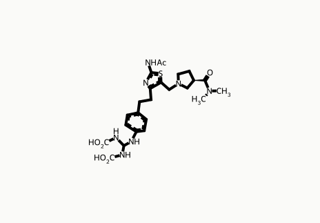 CC(=O)Nc1nc(CCc2ccc(NC(NC(=O)O)NC(=O)O)cc2)c(CN2CC[C@@H](C(=O)N(C)C)C2)s1